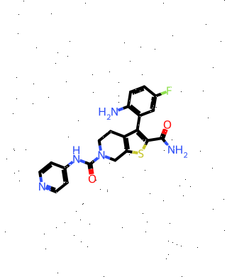 NC(=O)c1sc2c(c1-c1cc(F)ccc1N)CCN(C(=O)Nc1ccncc1)C2